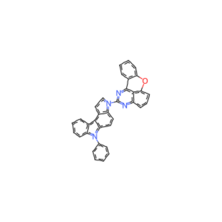 c1ccc(-n2c3ccccc3c3c4ccn(-c5nc6c7c(cccc7n5)Oc5ccccc5-6)c4ccc32)cc1